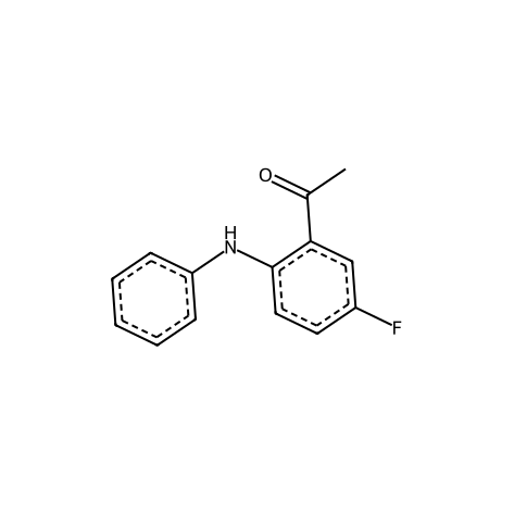 CC(=O)c1cc(F)ccc1Nc1ccccc1